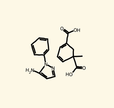 CC1(C(=O)O)C=CC=C(C(=O)O)C1.Nc1ccnn1-c1ccccc1